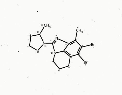 Cc1c(Br)c(Br)c2c3c1nc(N1CCCC1C)n3CCC2